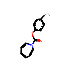 O=C(Oc1ccc([N+](=O)[O-])cc1)N1C=CC=CC=C1